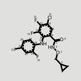 O=C(NOCC1CC1)c1cc(Cl)c(F)c(F)c1Nc1ccc(I)cc1F